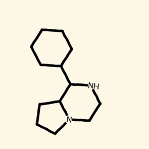 C1CCC(C2NCCN3CCCC23)CC1